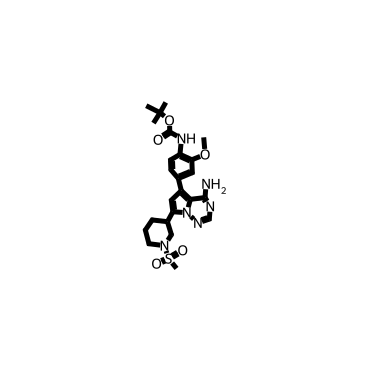 COc1cc(-c2cc(C3CCCN(S(C)(=O)=O)C3)n3ncnc(N)c23)ccc1NC(=O)OC(C)(C)C